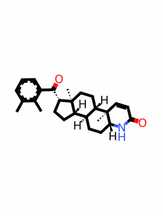 Cc1cccc(C(=O)[C@H]2CC[C@H]3[C@@H]4CC[C@H]5NC(=O)C=C[C@]5(C)[C@H]4CC[C@]23C)c1C